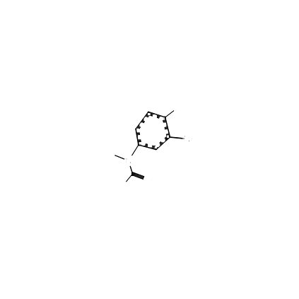 CN(C(=O)C(F)(F)F)c1ccc(F)c([N+](=O)[O-])c1